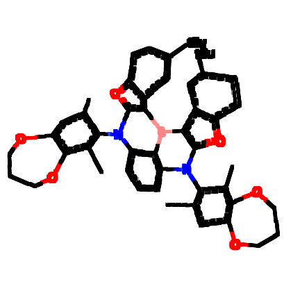 Cc1cc2c(c(C)c1N1c3cccc4c3B(c3c1oc1ccc(C(C)(C)C)cc31)c1c(oc3ccc(C(C)(C)C)cc13)N4c1c(C)cc3c(c1C)OCCCO3)OCCCO2